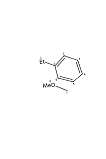 CCc1ccccc1.COC